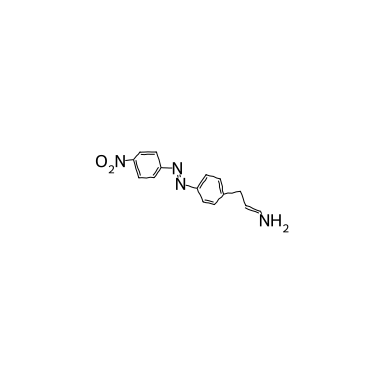 NC=CCc1ccc(N=Nc2ccc([N+](=O)[O-])cc2)cc1